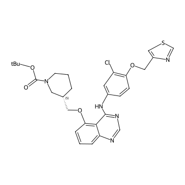 CC(C)(C)OC(=O)N1CCC[C@H](COc2cccc3ncnc(Nc4ccc(OCc5cscn5)c(Cl)c4)c23)C1